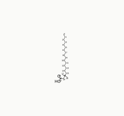 CCCCCCCCCCCCCCCCC(C)(C)CC(=O)O